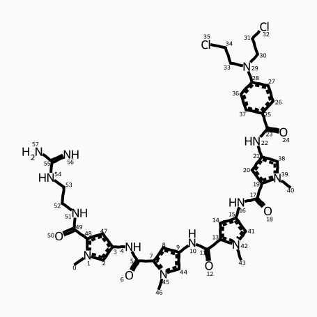 Cn1cc(NC(=O)c2cc(NC(=O)c3cc(NC(=O)c4cc(NC(=O)c5ccc(N(CCCl)CCCl)cc5)cn4C)cn3C)cn2C)cc1C(=O)NCCNC(=N)N